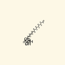 CCCCCCCCCCCCCCCC(=O)OC(C)C(O)O